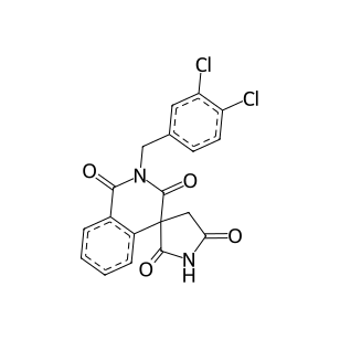 O=C1CC2(C(=O)N1)C(=O)N(Cc1ccc(Cl)c(Cl)c1)C(=O)c1ccccc12